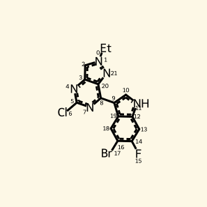 CCn1cc2nc(Cl)nc(-c3c[nH]c4cc(F)c(Br)cc34)c2n1